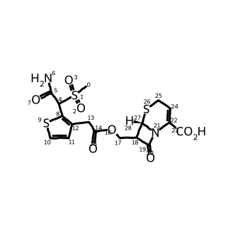 CS(=O)(=O)C(C(N)=O)c1sccc1CC(=O)OCC1C(=O)N2C(C(=O)O)=CCS[C@@H]12